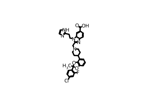 CC1(c2ccc(Cl)cc2F)Oc2cccc(C3CCN(CC4=NC5C=CC(C(=O)O)=CC5N4CCc4ncc[nH]4)CC3)c2O1